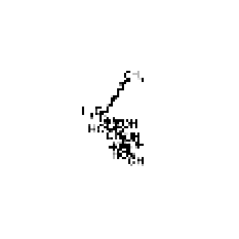 CCCCCCCCCC[C@@H](C)O[C@@H]1OC(CO)[C@@H](OCC(O)C(O)[C@H](O)C(O)CO)C(O)C1O